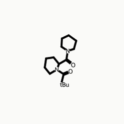 CC(C)(C)C(=O)N1CCCCC1C(=O)N1CCCCC1